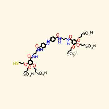 O=C(NCCCNC(=O)c1cc(OCCCS)c(OCCCS(=O)(=O)O)c(OCCCS(=O)(=O)O)c1)c1ccc(/N=N/c2ccc(C(=O)NCCCNC(=O)c3cc(OCCCS(=O)(=O)O)c(OCCCS(=O)(=O)O)c(OCCCS(=O)(=O)O)c3)cc2)cc1